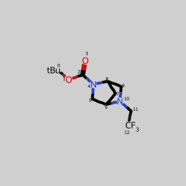 CC(C)(C)OC(=O)N1CC2CC1CN2CC(F)(F)F